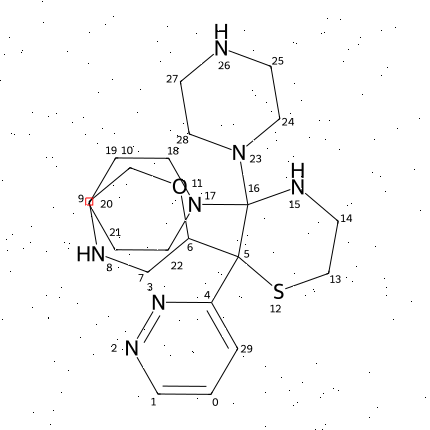 c1cnnc(C2(C3CNCCO3)SCCNC2(N2CCCCC2)N2CCNCC2)c1